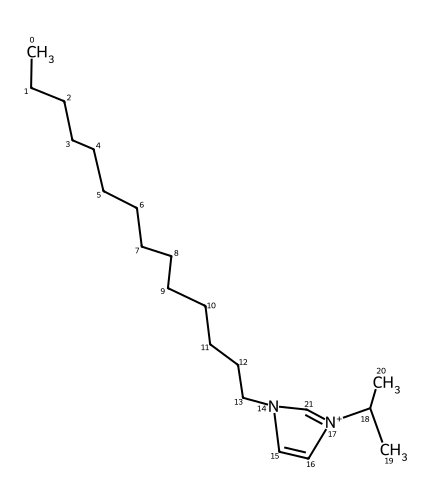 CCCCCCCCCCCCCCn1cc[n+](C(C)C)c1